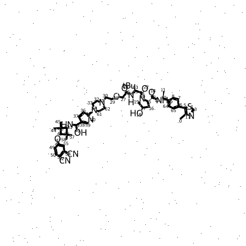 Cc1ncsc1-c1ccc([C@H](C)NC(=O)[C@@H]2C[C@@H](O)CN2C(=O)[C@@H](NC(=O)COCCN2CCN(c3ccc(C(O)N[C@H]4C(C)(C)[C@H](Oc5ccc(C#N)c(C#N)c5)C4(C)C)cn3)CC2)C(C)(C)C)cc1